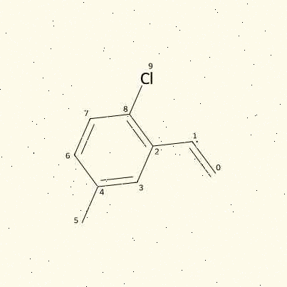 C=[C]c1cc(C)ccc1Cl